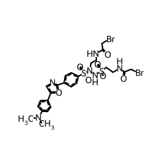 CN(C)c1ccc(-c2cnc(-c3ccc(S(=O)(=O)N(CCNC(=O)CBr)NS(=O)(=O)CCNC(=O)CBr)cc3)o2)cc1